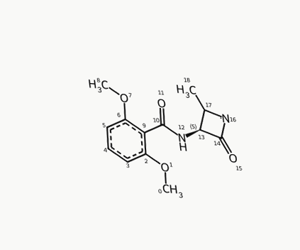 COc1cccc(OC)c1C(=O)N[C@@H]1C(=O)[N]C1C